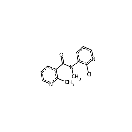 Cc1ncccc1C(=O)N(C)c1cccnc1Cl